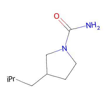 CC(C)CC1CCN(C(N)=O)C1